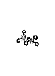 c1ccc(-c2nc(-c3ccccc3)nc(-n3c4ccccc4c4c5nc(-c6ccccc6)n(-c6ccccc6)c5ccc43)n2)cc1